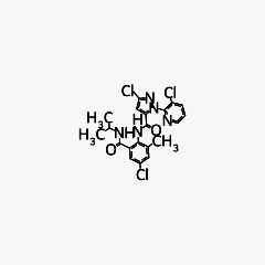 Cc1cc(Cl)cc(C(=O)NC(C)C)c1NC(=O)c1cc(Cl)nn1-c1ncccc1Cl